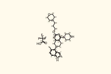 Cc1ccc2[nH]ncc2c1N1CCc2c(nc(OCCCN3CCOCC3)nc2N2CCNCC2)C1.O=C(O)C(F)(F)F